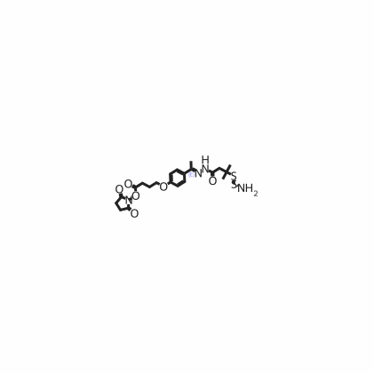 C/C(=N\NC(=O)CC(C)(C)SSN)c1ccc(OCCCC(=O)ON2C(=O)CCC2=O)cc1